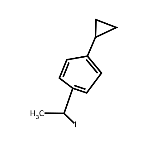 CC(I)c1ccc(C2CC2)cc1